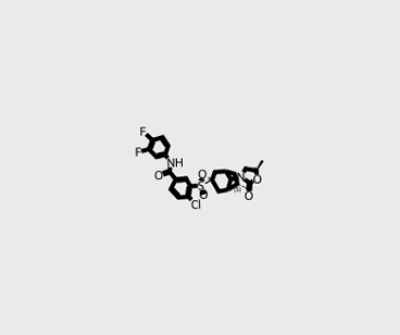 C[C@@H]1CN(C2C3C[C@@H](S(=O)(=O)c4cc(C(=O)Nc5ccc(F)c(F)c5)ccc4Cl)CC2[C@@H](C)C3)C(=O)O1